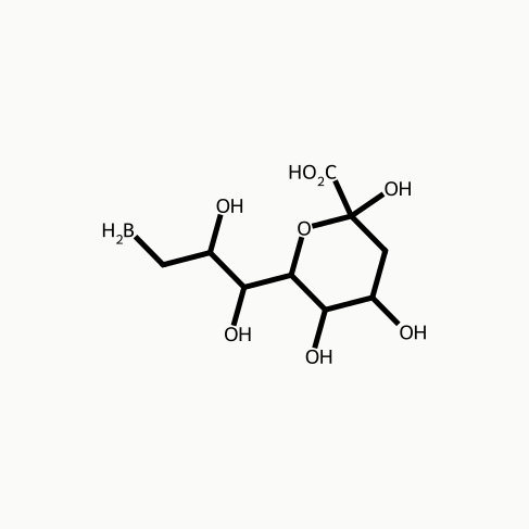 BCC(O)C(O)C1OC(O)(C(=O)O)CC(O)C1O